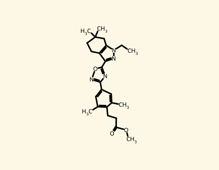 CCn1nc(-c2nc(-c3cc(C)c(CCC(=O)OC)c(C)c3)no2)c2c1CC(C)(C)CC2